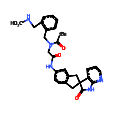 CC(C)(C)C(=O)N(CC(=O)Nc1ccc2c(c1)CC1(C2)C(=O)Nc2ncccc21)Cc1ccccc1CNC(=O)O